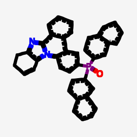 O=P(c1ccc2ccccc2c1)(c1ccc2ccccc2c1)c1ccc2c(c1)c1ccccc1c1nc3c(n21)C=CCC3